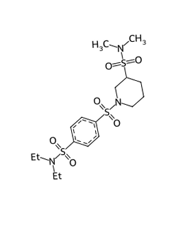 CCN(CC)S(=O)(=O)c1ccc(S(=O)(=O)N2CCCC(S(=O)(=O)N(C)C)C2)cc1